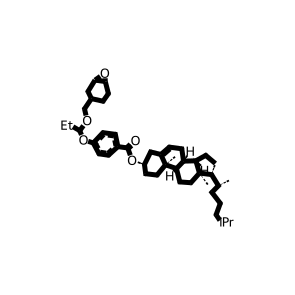 CCC(OCC1CCC2OC2C1)Oc1ccc(C(=O)O[C@H]2CC[C@@]3(C)C(=CC[C@H]4[C@@H]5CC[C@H]([C@H](C)CCCC(C)C)[C@@]5(C)CC[C@@H]43)C2)cc1